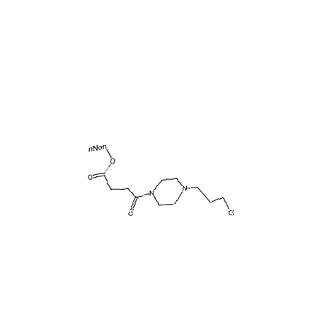 CCCCCCCCCOC(=O)CCC(=O)N1CCN(CCCCl)CC1